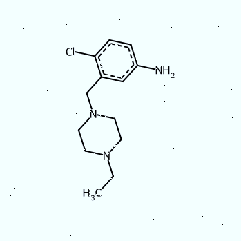 CCN1CCN(Cc2cc(N)ccc2Cl)CC1